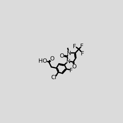 Cn1c(C(F)(F)F)cc(=O)n(-c2cc(CC(=O)O)c(Cl)cc2F)c1=O